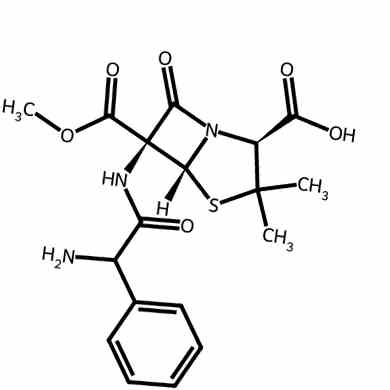 COC(=O)[C@]1(NC(=O)C(N)c2ccccc2)C(=O)N2[C@@H](C(=O)O)C(C)(C)S[C@@H]21